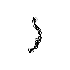 C=CC(=O)OCCCOc1ccc(OCOCCC2CCC(OC(=O)c3ccc(OCCCOC(=O)C=C)cc3)CC2)cc1